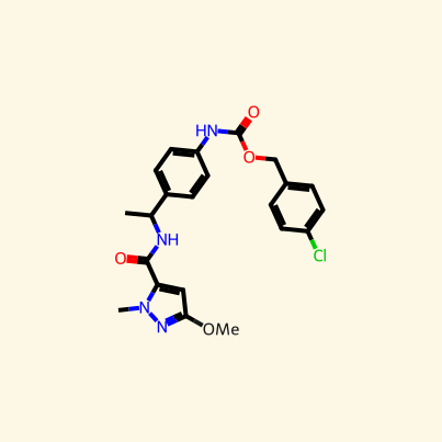 COc1cc(C(=O)NC(C)c2ccc(NC(=O)OCc3ccc(Cl)cc3)cc2)n(C)n1